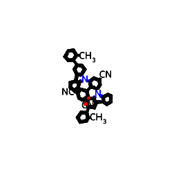 Cc1ccccc1-c1ccc2c(c1)c1ccccc1n2-c1cc(C#N)cc(-n2c3ccccc3c3cc(-c4ccccc4C)ccc32)c1-c1cc(C#N)cc(C#N)c1